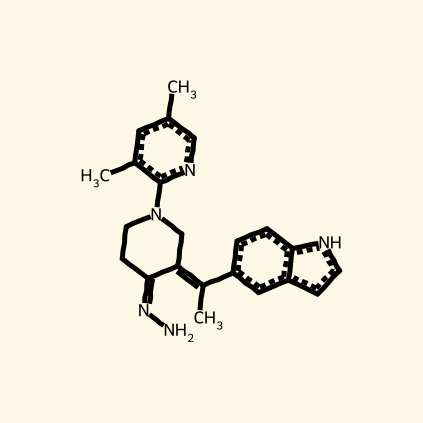 C/C(=C1/CN(c2ncc(C)cc2C)CC/C1=N/N)c1ccc2[nH]ccc2c1